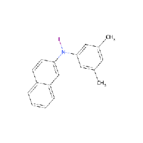 Cc1cc(C)cc(N(I)c2ccc3ccccc3c2)c1